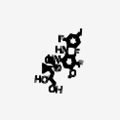 COc1cc(NS(=O)(=O)C2(C[C@H](O)CO)CC2)c(Nc2ccc(I)cc2F)c(F)c1F